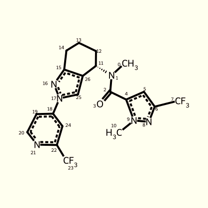 CN(C(=O)c1cc(C(F)(F)F)nn1C)[C@H]1CCCc2nn(-c3ccnc(C(F)(F)F)c3)cc21